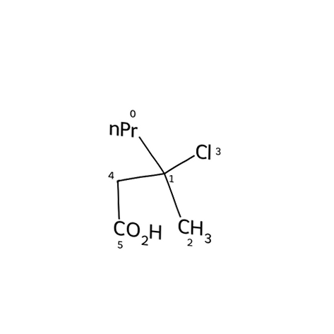 CCCC(C)(Cl)CC(=O)O